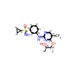 C[C@@H](O)[C@@H](C)Oc1nc(Nc2cccc([S@](=N)(=O)C3CC3)c2)ncc1C(F)(F)F